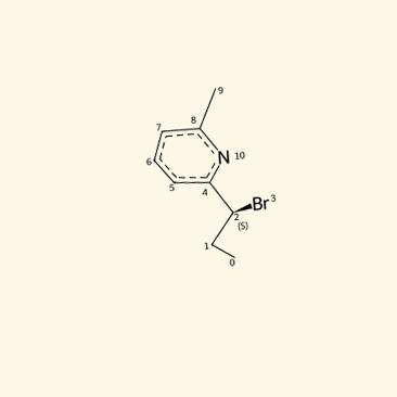 CC[C@H](Br)c1cccc(C)n1